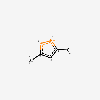 Cc1cc(C)[pH]p1